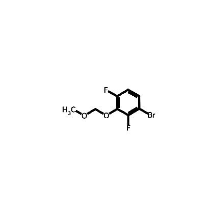 COCOc1c(F)ccc(Br)c1F